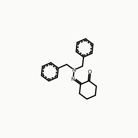 O=C1CCCCC1=NN(Cc1ccccc1)Cc1ccccc1